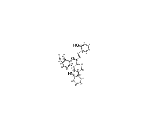 O=C(/C=C/c1ccccc1O)N1CCc2c([nH]c3ccccc23)C1c1ccc2c(c1)OCO2